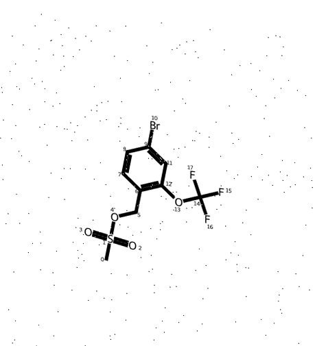 CS(=O)(=O)OCc1ccc(Br)cc1OC(F)(F)F